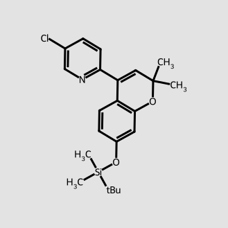 CC1(C)C=C(c2ccc(Cl)cn2)c2ccc(O[Si](C)(C)C(C)(C)C)cc2O1